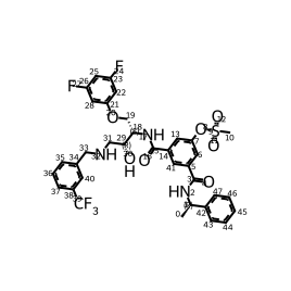 C[C@@H](NC(=O)c1cc(OS(C)(=O)=O)cc(C(=O)N[C@@H](COc2cc(F)cc(F)c2)[C@H](O)CNCc2cccc(C(F)(F)F)c2)c1)c1ccccc1